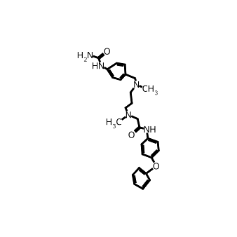 CN(CCCN(C)Cc1ccc(NC(N)=O)cc1)CC(=O)Nc1ccc(Oc2ccccc2)cc1